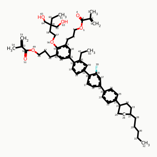 C=C(C)C(=O)OCCCc1cc(-c2ccc(-c3ccc(-c4ccc(C5CCC(CCCCC)CC5)cc4)cc3F)cc2CC)cc(CCCOC(=O)C(=C)C)c1OCCC(CC)(CO)CO